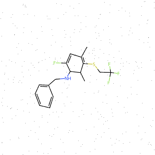 CC1=C(SCC(F)(F)F)C(C)C(NCc2ccccc2)C(F)=C1